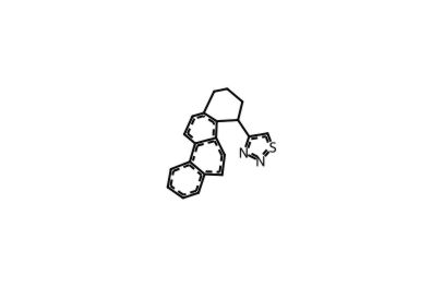 c1ccc2c(c1)ccc1c3c(ccc12)CCCC3c1csnn1